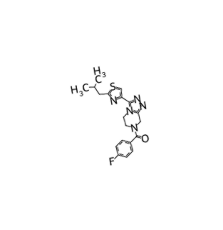 CC(C)Cc1nc(-c2nnc3n2CCN(C(=O)c2ccc(F)cc2)C3)cs1